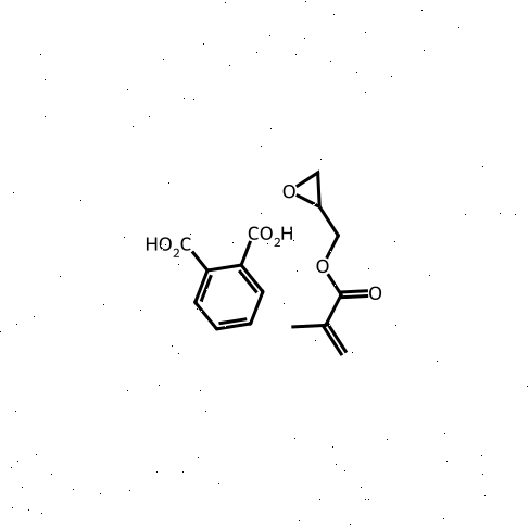 C=C(C)C(=O)OCC1CO1.O=C(O)c1ccccc1C(=O)O